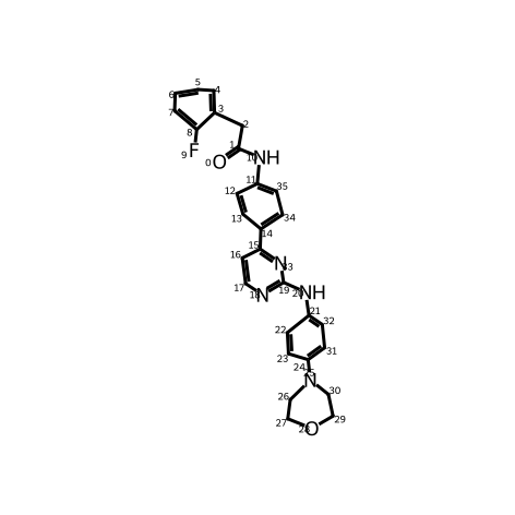 O=C(Cc1ccccc1F)Nc1ccc(-c2ccnc(Nc3ccc(N4CCOCC4)cc3)n2)cc1